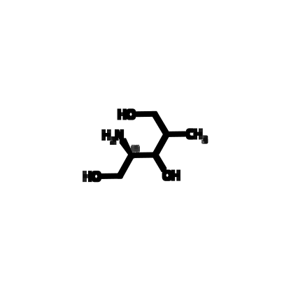 CC(CO)C(O)[C@H](N)CO